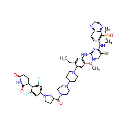 CCc1cc(Nc2ncc(Br)c(Nc3ccc4nccnc4c3P(C)(C)=O)n2)c(OC)cc1N1CCC(N2CCN(C(=O)C3CCN(c4cc(F)c(C5CCC(=O)NC5=O)c(F)c4)C3)CC2)CC1